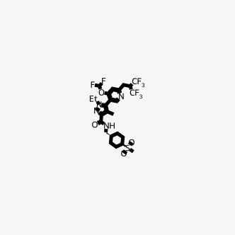 CCn1nc(C(=O)NC[C@H]2CC[C@H](S(C)(=O)=O)CC2)c(C)c1-c1cnc(CC(C(F)(F)F)C(F)(F)F)cc1OC(F)F